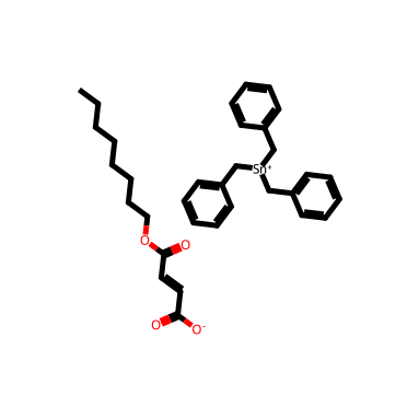 CCCCCCCCOC(=O)C=CC(=O)[O-].c1ccc([CH2][Sn+]([CH2]c2ccccc2)[CH2]c2ccccc2)cc1